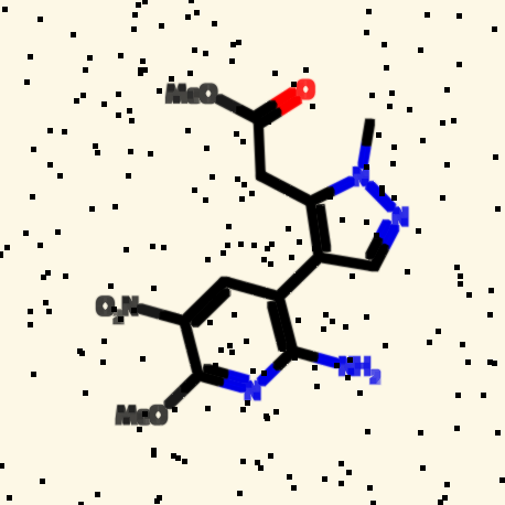 COC(=O)Cc1c(-c2cc([N+](=O)[O-])c(OC)nc2N)cnn1C